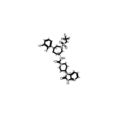 O=C(N[C@@H]1CC[C@@H](c2cccc(F)c2F)CN(S(=O)(=O)CC(F)(F)F)C1)N1CCC(n2c(=O)[nH]c3ncccc32)CC1